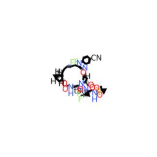 CC(C)(C)[C@@H]1NC(=O)O[C@@H]2C[C@@H]3C[C@@H]3[C@H]2CC/C=C/C(F)(F)c2nc3ccc(C#N)cc3nc2O[C@@H]2C[C@@H](C(=O)N[C@]3(C(=O)NS(=O)(=O)C4(C)CC4)C[C@H]3C(F)F)N(C2)C1=O